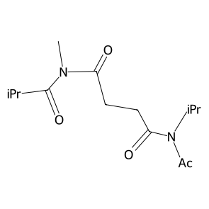 CC(=O)N(C(=O)CCC(=O)N(C)C(=O)C(C)C)C(C)C